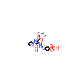 C=COC(=O)c1nn(-c2ccccn2)c(O)c1N=Nc1nc2ccc(S(=O)(=O)O)cc2s1